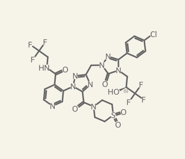 O=C(NCC(F)(F)F)c1ccncc1-n1nc(Cn2nc(-c3ccc(Cl)cc3)n(C[C@H](O)C(F)(F)F)c2=O)nc1C(=O)N1CCS(=O)(=O)CC1